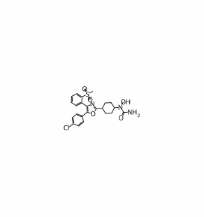 CS(=O)(=O)c1ccccc1-c1nc(C2CCC(N(O)C(N)=O)CC2)oc1-c1ccc(Cl)cc1